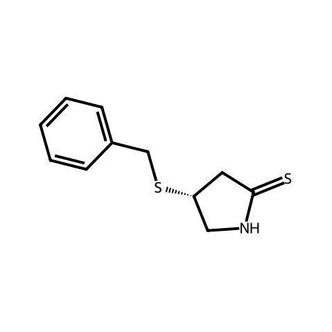 S=C1C[C@@H](SCc2ccccc2)CN1